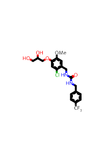 COc1cc(CNC(=O)NCc2ccc(C(F)(F)F)cc2)c(Cl)cc1OCC(O)CO